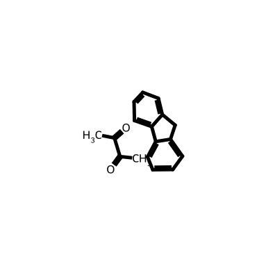 CC(=O)C(C)=O.c1ccc2c(c1)Cc1ccccc1-2